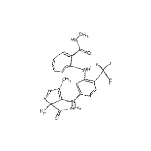 CNC(=O)c1ccccc1Nc1cc(NC2=C(C)N=NC2(C)C(N)=O)ncc1C(F)(F)F